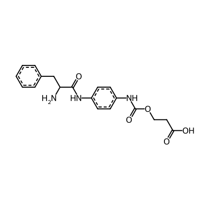 NC(Cc1ccccc1)C(=O)Nc1ccc(NC(=O)OCCC(=O)O)cc1